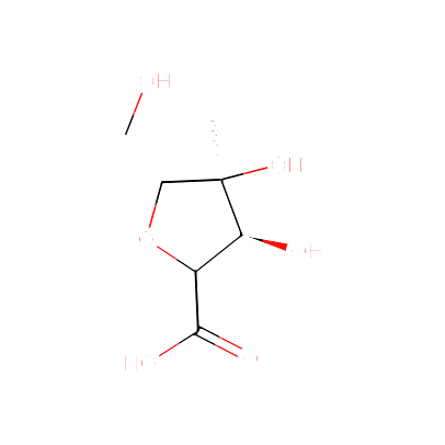 C[C@@]1(O)[C@@H](CO)OC(C(=O)O)[C@@H]1O